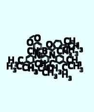 Cc1cc(C(C)(C)C)cc(C)c1N1c2cc3c(cc2B2c4oc5ccc(C(C)(C)C)cc5c4N(c4c(C)cc(C(C)(C)C)cc4C)c4cc(C(C)(C)C)cc1c42)OCCO3